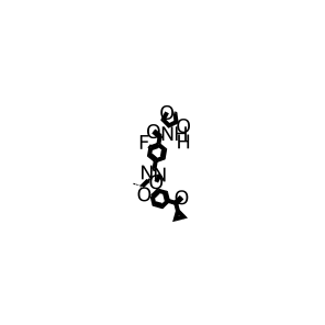 C[C@@H](Oc1ccc(C(=O)C2CC2)cc1)c1nc(-c2ccc(C(=O)N[C@@H]3COC[C@H]3O)c(F)c2)no1